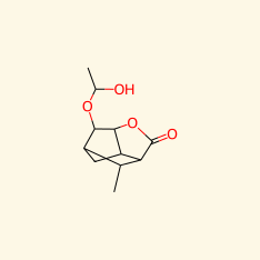 CC(O)OC1C2CC3C1OC(=O)C3C2C